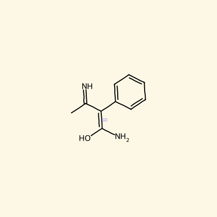 CC(=N)/C(=C(/N)O)c1ccccc1